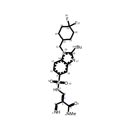 CNC(=O)/C(C=N)=C/NS(=O)(=O)c1ccc2c(c1)nc(C(C)(C)C)n2CC1CCC(F)(F)CC1